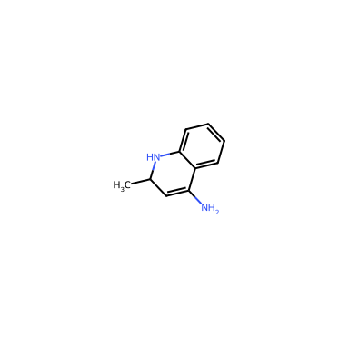 CC1C=C(N)c2ccccc2N1